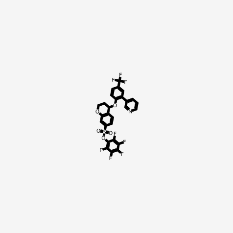 O=S(=O)(Oc1c(F)c(F)c(F)c(F)c1F)c1ccc2c(c1)OCCC2Oc1ccc(C(F)(F)F)cc1-c1cccnc1